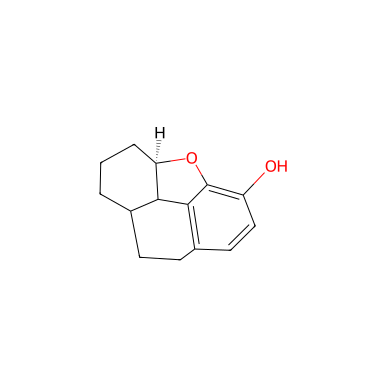 Oc1ccc2c3c1O[C@@H]1CCCC(CC2)C31